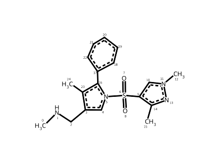 CNCc1cn(S(=O)(=O)c2cn(C)nc2C)c(-c2ccccc2)c1C